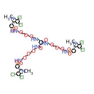 CN1Cc2c(Cl)cc(Cl)cc2[C@H](c2cccc(S(=O)(=O)NCCOCCOCCOCCNCc3cc(C(=O)NCCOCCOCCOCCNS(=O)(=O)c4cccc([C@@H]5CN(C)Cc6c(Cl)cc(Cl)cc65)c4)cc(C(=O)NCCOCCOCCOCCNS(=O)(=O)c4cccc([C@@H]5CN(C)Cc6c(Cl)cc(Cl)cc65)c4)c3)c2)C1